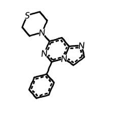 c1ccc(-c2nc(N3CCSCC3)cc3nccn23)cc1